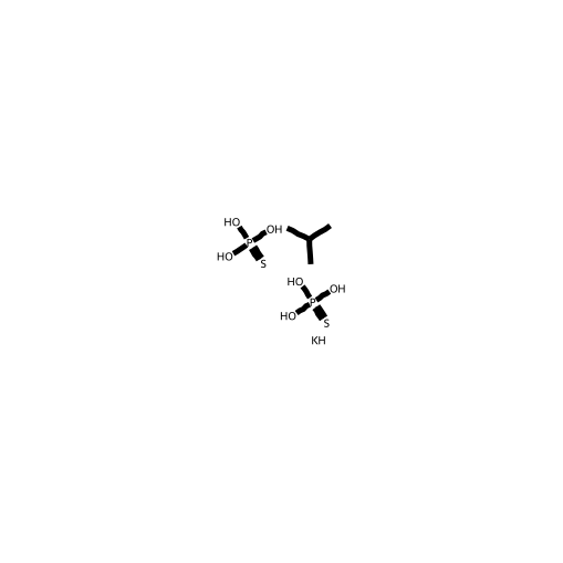 CC(C)C.OP(O)(O)=S.OP(O)(O)=S.[KH]